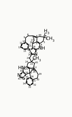 CC1(C)CC2=C3C(=C4CCc5ccccc5[C@@]3(C4)c3sc(CC4(C)CC5=C6C(=C7CCc8ccccc8C6(C7)c6scnc6N5)C4)nc3N2)C1